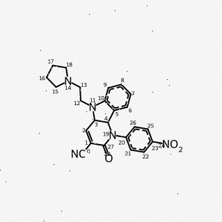 N#CC1=CC2C(c3ccccc3N2CCN2CCCC2)N(c2ccc([N+](=O)[O-])cc2)C1=O